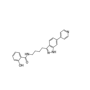 O=C(NCCCCc1n[nH]c2cc(-c3ccncc3)ccc12)c1ccccc1O